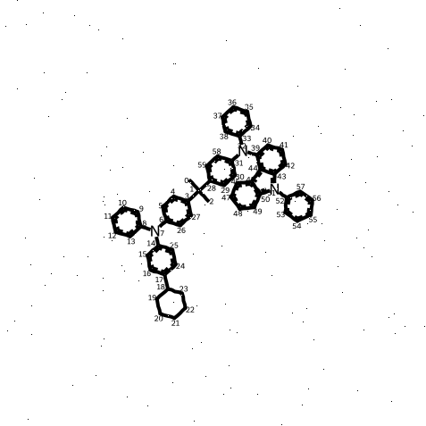 CC(C)(c1ccc(N(c2ccccc2)c2ccc(C3CCCCC3)cc2)cc1)c1ccc(N(c2ccccc2)c2cccc3c2c2ccccc2n3-c2ccccc2)cc1